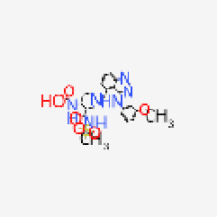 COc1cccc(Nc2ncnc3cccc(CN4CC[C@@H](NC(=O)O)[C@H](C(=O)NS(C)(=O)=O)C4)c23)c1